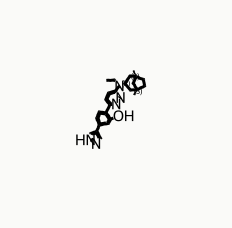 CCN(c1ccc(-c2ccc(-c3cn[nH]c3)cc2O)nn1)[C@H]1C[C@]2(C)CC[C@](C)(C1)C2